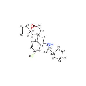 C[C@@H](NCC[C@@]1(c2ccc(F)cc2)CCOC2(CCCC2)C1)c1ccccc1